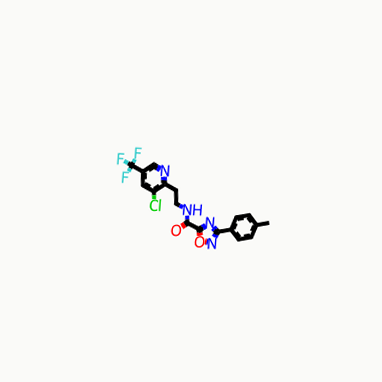 Cc1ccc(-c2noc(C(=O)NCCc3ncc(C(F)(F)F)cc3Cl)n2)cc1